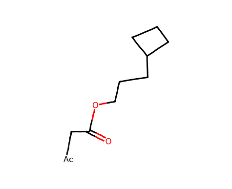 CC(=O)CC(=O)OCCCC1CCC1